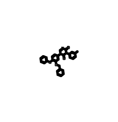 Cc1cccc(-n2c(=O)ncn(-c3ccc(Oc4ccccc4)c(OCc4ccccc4)c3)c2=O)c1